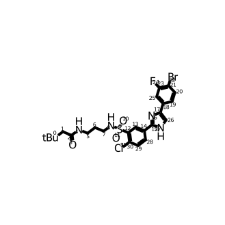 CC(C)(C)CC(=O)NCCCNS(=O)(=O)c1cc(-c2nc(-c3ccc(Br)c(F)c3)c[nH]2)ccc1Cl